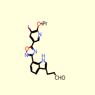 CC(C)Oc1ncc(-c2nc(-c3cccc4c(CCC=O)c[nH]c34)no2)cc1I